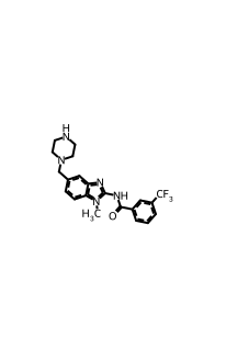 Cn1c(NC(=O)c2cccc(C(F)(F)F)c2)nc2cc(CN3CCNCC3)ccc21